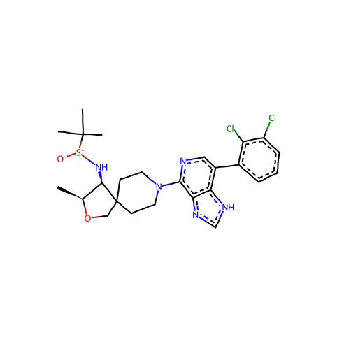 C[C@@H]1OCC2(CCN(c3ncc(-c4cccc(Cl)c4Cl)c4[nH]cnc34)CC2)[C@@H]1N[S+]([O-])C(C)(C)C